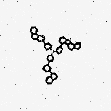 c1cc(-c2ccc(N(c3ccc(-c4ccc5c(ccc6ccccc65)c4)cc3)c3cccc(-c4cccc5oc6c7ccccc7ccc6c45)c3)cc2)cc(-c2cccc3ccccc23)c1